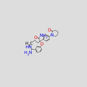 CCCC(Oc1cccc(C(=N)N)c1)(C(N)=O)c1ccc(N2CCCCC2=O)cc1